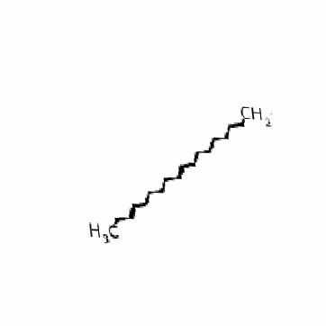 [CH2]CCCCCCCC=CCCCCC=CCC